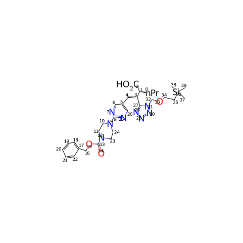 CCC[C@H](C(=O)O)[C@H](Cc1cnc(N2CCN(C(=O)OCc3ccccc3)CC2)nc1)c1nnnn1COCC[Si](C)(C)C